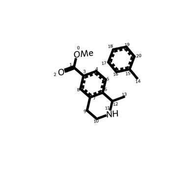 COC(=O)c1ccc2c(c1)CCNC2C.Cc1ccccc1